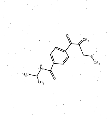 C=C(CSC)C(=O)c1ccc(C(=O)NC(C)C)cc1